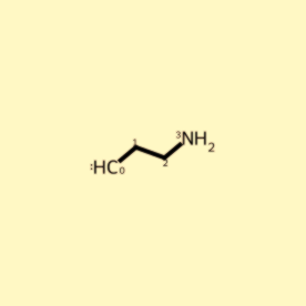 [CH]CCN